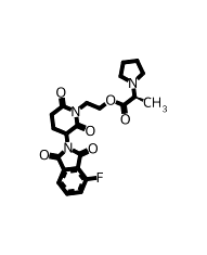 C[C@@H](C(=O)OCCN1C(=O)CCC(N2C(=O)c3cccc(F)c3C2=O)C1=O)N1CCCC1